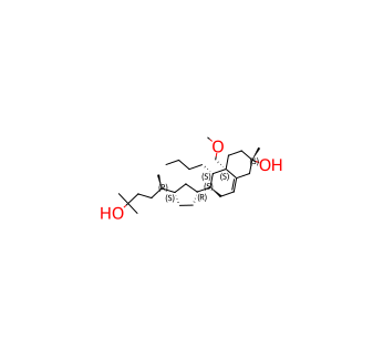 CCCC[C@H]1[C@H]([C@@H]2CC[C@H]([C@H](C)CCC(C)(C)O)C2)CC=C2C[C@@](C)(O)CC[C@@]21COC